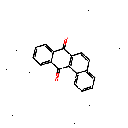 O=C1c2ccccc2C(=O)c2c1ccc1ccccc21